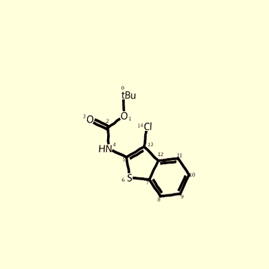 CC(C)(C)OC(=O)Nc1sc2ccccc2c1Cl